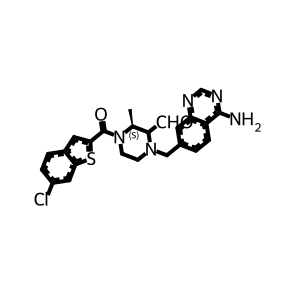 C[C@H]1C(C=O)N(Cc2ccc3c(N)ncnc3c2)CCN1C(=O)c1cc2ccc(Cl)cc2s1